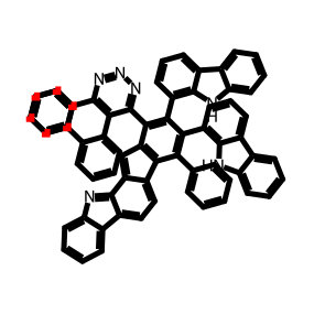 C1=c2c(ccc3c2=Nc2ccccc2-3)-c2c1c(-c1nnnc(-c3ccccc3)c1-c1ccccc1-c1ccccc1)c(-c1cccc3c1[nH]c1ccccc13)c(-c1cccc3c1[nH]c1ccccc13)c2-c1ccccc1